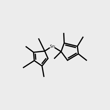 CC1=C[C](C)([Sn][C]2(C)C=C(C)C(C)=C2C)C(C)=C1C